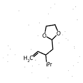 C=CC(CC1OCCO1)C(C)C